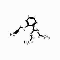 C#CCOc1ccccc1C(OCC)OCC